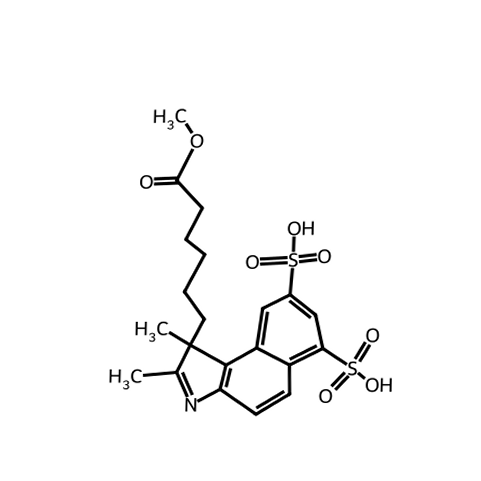 COC(=O)CCCCCC1(C)C(C)=Nc2ccc3c(S(=O)(=O)O)cc(S(=O)(=O)O)cc3c21